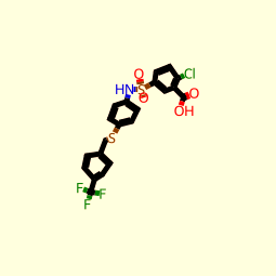 O=C(O)c1cc(S(=O)(=O)Nc2ccc(SCc3ccc(C(F)(F)F)cc3)cc2)ccc1Cl